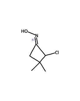 CC1(C)C/C(=N\O)C1Cl